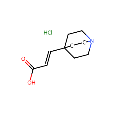 Cl.O=C(O)C=CC12CCN(CC1)CC2